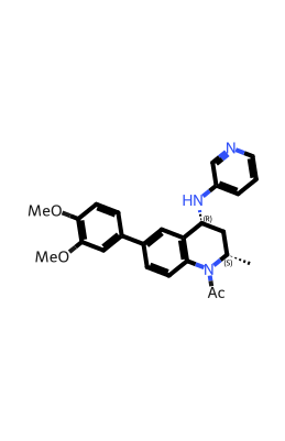 COc1ccc(-c2ccc3c(c2)[C@H](Nc2cccnc2)C[C@H](C)N3C(C)=O)cc1OC